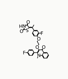 CC(=C1SC(=O)NC1=O)c1ccc(OCCOc2c(-c3ccc(F)cc3)n(C)c3ccccc3c2=O)c(F)c1